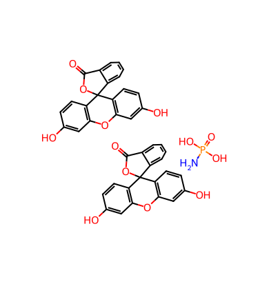 NP(=O)(O)O.O=C1OC2(c3ccc(O)cc3Oc3cc(O)ccc32)c2ccccc21.O=C1OC2(c3ccc(O)cc3Oc3cc(O)ccc32)c2ccccc21